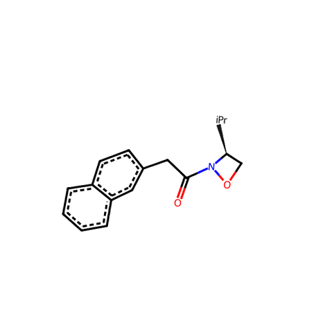 CC(C)[C@H]1CON1C(=O)Cc1ccc2ccccc2c1